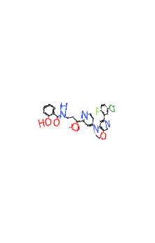 COC(CCNC(=O)c1ccccc1O)c1cc(N2CCOc3cnc(-c4cc(Cl)ccc4F)cc32)ccn1